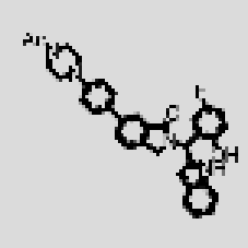 CC(=O)N1CCN(c2ccc(-c3ccc4c(c3)C(=O)N(C(c3cc5ccccc5[nH]3)c3cc(F)ccc3O)C4)cc2)CC1